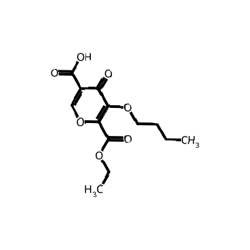 CCCCOc1c(C(=O)OCC)occ(C(=O)O)c1=O